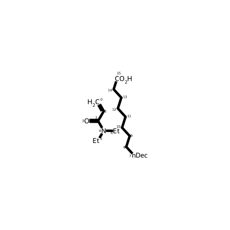 C=CC(=O)N(CC)CC.CCCCCCCCCCCCCCCCCC(=O)O